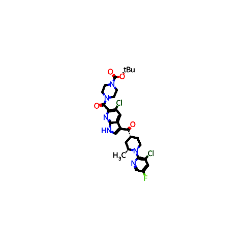 C[C@@H]1C[C@H](C(=O)c2c[nH]c3nc(C(=O)N4CCN(C(=O)OC(C)(C)C)CC4)c(Cl)cc23)CCN1c1ncc(F)cc1Cl